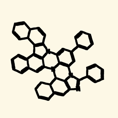 C1=CC2C=Cc3c(c4c5ccccc5cc5c4n3-c3cc(-c4ccccc4)cc4c3B5C3c5c(nc(-c6ccccc6)n5-4)C=C4C=CCCC43)C2C=C1